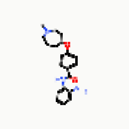 CN1CCCC(Oc2ccc(C(=O)Nc3ccccc3N)cc2)CC1